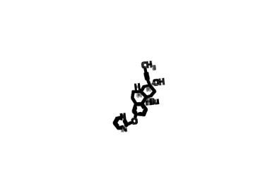 CC#C[C@@]1(O)CC[C@@]2(CCCC)c3ccc(Oc4ncccn4)cc3CC[C@@H]2C1